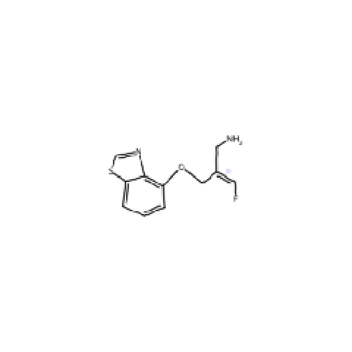 NC/C(=C/F)COc1cccc2scnc12